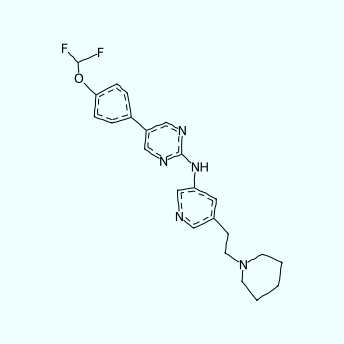 FC(F)Oc1ccc(-c2cnc(Nc3cncc(CCN4CCCCC4)c3)nc2)cc1